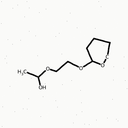 CC(O)OCCOC1CCCCO1